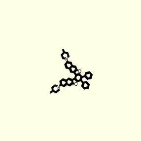 CC1CCN(c2ccc3cc4c(cc3c2)oc2c(-c3ccccc3)c(-c3ccccc3)c3oc5cc6cc(N7CCC(C)CC7)ccc6cc5c3c24)CC1